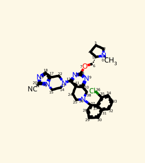 CN1CCC[C@H]1COc1nc2c(c(N3CCn4c(cnc4C#N)C3)n1)CCN(c1cccc3cccc(Cl)c13)C2